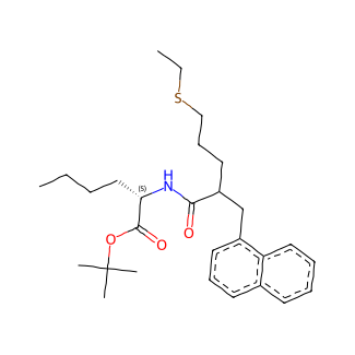 CCCC[C@H](NC(=O)C(CCCSCC)Cc1cccc2ccccc12)C(=O)OC(C)(C)C